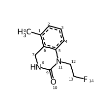 Cc1cccc2c1CNC(=O)N2CCF